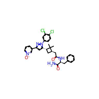 CC1(C)[C@@H](CC(=O)N[C@@H](Cc2ccccc2)C(N)=O)C[C@@H]1c1cc(-c2ccc[n+]([O-])c2)nn1-c1ccc(Cl)c(Cl)c1